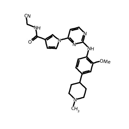 COc1cc(C2CCN(C)CC2)ccc1Nc1nccc(-n2ccc(C(=O)NCC#N)c2)n1